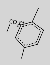 CCOC(C)=O.Cc1ccc(C)cc1